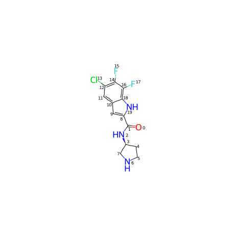 O=C(N[C@H]1CCNC1)c1cc2cc(Cl)c(F)c(F)c2[nH]1